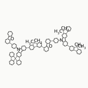 CC1(C)c2ccccc2-c2ccc(-c3ccc4c(c3)c3cc5c(cc3n4-c3ccc(-c4cccc6c4oc4cccc(-c7ccc8c(c7)-c7ccc(-c9ccc%10c(c9)c9cc%11c(cc9n%10-c9ccc(-c%10cccc%12c%10oc%10ccccc%10%12)cc9)C9(c%10ccccc%10-c%10ccccc%109)c9ccccc9-%11)cc7C8(C)C)c46)cc3)C(C)(C)c3ccccc3-5)cc21